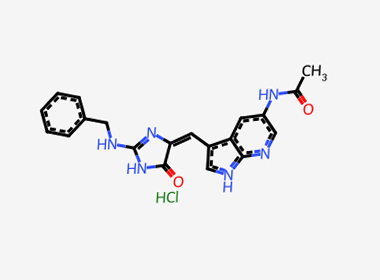 CC(=O)Nc1cnc2[nH]cc(/C=C3/N=C(NCc4ccccc4)NC3=O)c2c1.Cl